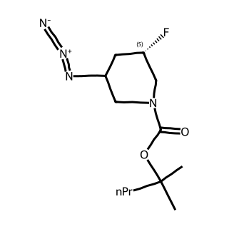 CCCC(C)(C)OC(=O)N1CC(N=[N+]=[N-])C[C@H](F)C1